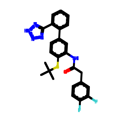 CC(C)(C)Sc1ccc(-c2ccccc2-c2nn[nH]n2)cc1NC(=O)Cc1ccc(F)c(F)c1